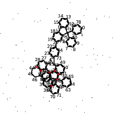 c1ccc(C2(c3ccccc3)c3ccccc3-c3ccc(-c4ccc(N(c5ccccc5-c5cccc6cccc(C7CCCCC7)c56)c5cccc6c5-c5ccccc5C6(c5ccccc5)c5ccccc5)cc4)cc32)cc1